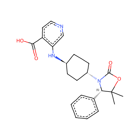 CC1(C)OC(=O)N([C@H]2CC[C@H](Nc3cnccc3C(=O)O)CC2)[C@H]1c1ccccc1